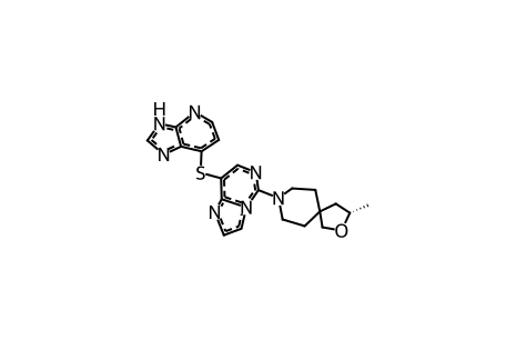 C[C@H]1CC2(CCN(c3ncc(Sc4ccnc5[nH]cnc45)c4nccn34)CC2)CO1